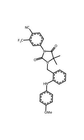 COc1ccc(Nc2ccccc2CN2C(=O)N(c3ccc(C#N)c(C(F)(F)F)c3)C(=O)C2(C)C)cc1